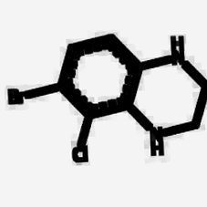 Clc1c(Br)ccc2c1NCCN2